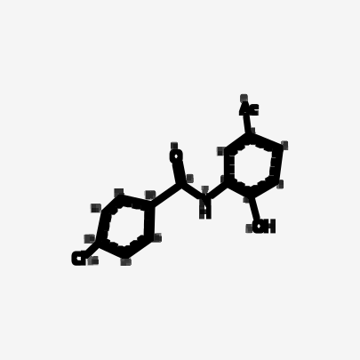 CC(=O)c1ccc(O)c(NC(=O)c2ccc(Cl)cc2)c1